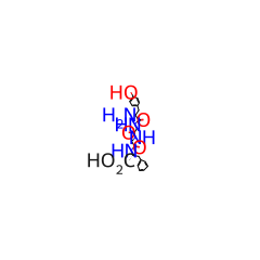 N[C@H](Cc1ccc(O)cc1)C(=O)NCC(=O)NCC(=O)N[C@H](Cc1ccccc1)C(=O)O